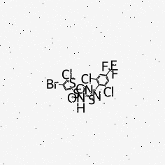 O=S(=O)(Nc1nc(-c2c(Cl)cc(C(F)(F)F)cc2Cl)ns1)c1cc(Br)c(Cl)s1